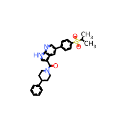 CC(C)S(=O)(=O)c1ccc(-c2cnc3[nH]cc(C(=O)N4CCC(c5ccccc5)CC4)c3c2)cc1